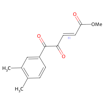 COC(=O)/C=C/C(=O)C(=O)c1ccc(C)c(C)c1